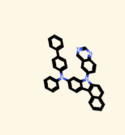 c1ccc(-c2ccc(N(c3ccccc3)c3ccc4c5c6ccccc6ccc5n(-c5ccc6ncncc6c5)c4c3)cc2)cc1